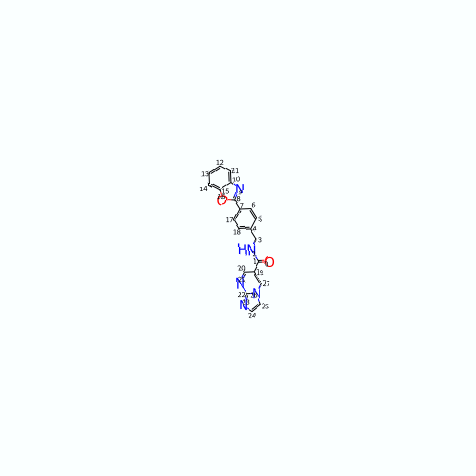 O=C(NCc1ccc(-c2nc3ccccc3o2)cc1)c1cnc2nccn2c1